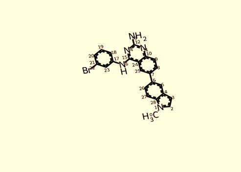 Cn1ccc2cc(-c3ccc4nc(N)nc(Nc5cccc(Br)c5)c4c3)ccc21